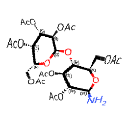 CC(=O)OC[C@H]1O[C@H](O[C@H]2[C@H](OC(C)=O)[C@@H](OC(C)=O)[C@H](N)O[C@@H]2COC(C)=O)[C@H](OC(C)=O)[C@@H](OC(C)=O)[C@H]1OC(C)=O